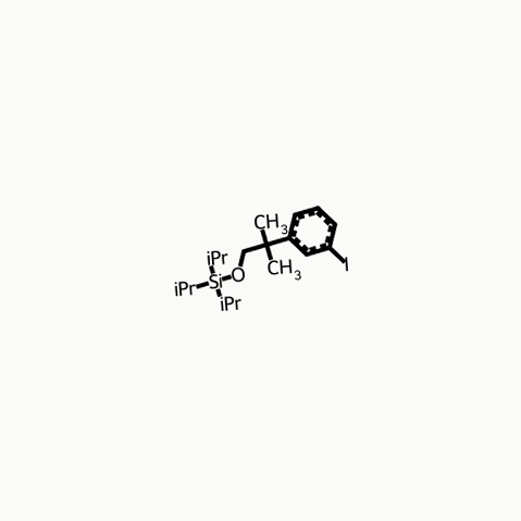 CC(C)[Si](OCC(C)(C)c1cccc(I)c1)(C(C)C)C(C)C